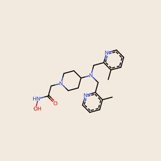 Cc1cccnc1CN(Cc1ncccc1C)C1CCN(CC(=O)NO)CC1